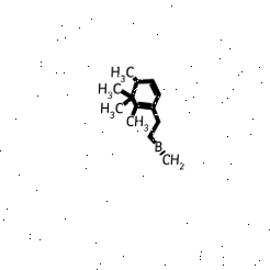 C=BCCC1=C(C)C(C)(C)C(C)C=C1